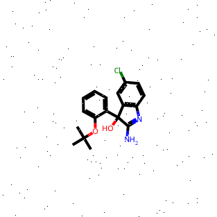 CC(C)(C)Oc1ccccc1C1(O)C(N)=Nc2ccc(Cl)cc21